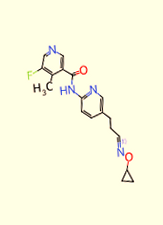 Cc1c(F)cncc1C(=O)Nc1ccc(CC/C=N/OC2CC2)cn1